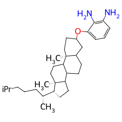 CC(C)CCC[C@@H](C)[C@H]1CCC2C3CCC4CC(Oc5cccc(N)c5N)CC[C@]4(C)C3CC[C@@]21C